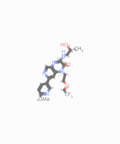 COc1ccc(-c2cc3c(cn2)nc(NC[C@@H](C)O)c(=O)n3CCOCC(F)(F)F)cn1